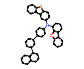 c1cc(-c2ccc(N(c3ccc4sc5ccccc5c4c3)c3cccc4c3oc3ccccc34)cc2)cc(-c2cccc3ccccc23)c1